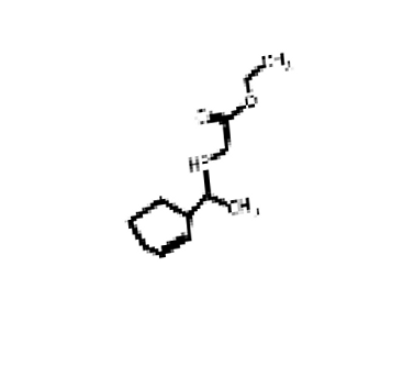 CCOC(=O)CPC(C)C1C=CCCC1